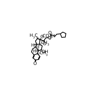 CCOC(=O)O[C@]1(C(=O)COC(=O)CCC2CCCC2)[C@H](C)C[C@H]2[C@@H]3CCC4=CC(=O)C=C[C@]4(C)[C@@]3(F)[C@@H](O)C[C@@]21C